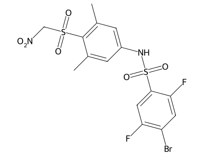 Cc1cc(NS(=O)(=O)c2cc(F)c(Br)cc2F)cc(C)c1S(=O)(=O)C[N+](=O)[O-]